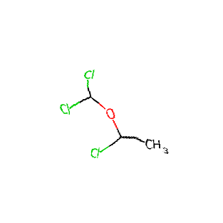 CC(Cl)OC(Cl)Cl